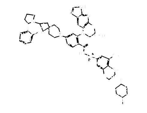 CC(C)c1ccccc1[C@@H]1CCCN1C1CC2(CCN(c3ccc(C(=O)NS(=O)(=O)c4cc5c(c([N+](=O)[O-])c4)N[C@H](C[C@H]4CC[C@H](O)CC4)CO5)c(N4C[C@@H](C)Oc5nc6[nH]ccc6cc54)c3)CC2)C1